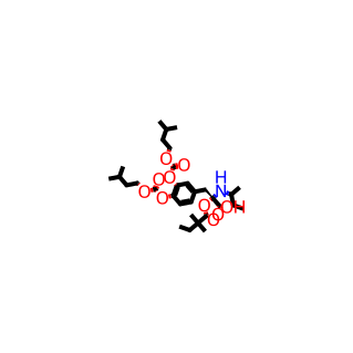 CCC(C)N[C@@](Cc1ccc(OC(=O)OCCC(C)C)c(OC(=O)OCCC(C)C)c1)(OC(=O)C(C)(C)CC)C(=O)O